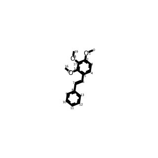 COc1ccc(/C=C/c2ccccc2)c(OC)c1OC